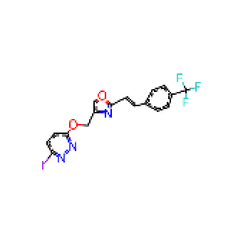 FC(F)(F)c1ccc(C=Cc2nc(COc3ccc(I)nn3)co2)cc1